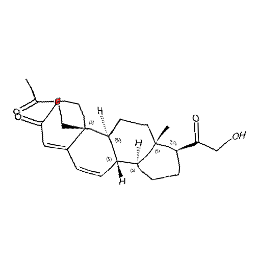 CC(=O)OC[C@]12CCC(=O)C=C1C=C[C@@H]1[C@@H]2CC[C@]2(C)[C@@H](C(=O)CO)CC[C@@H]12